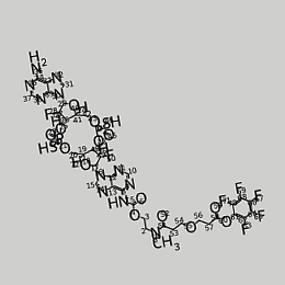 CN(CCOC(=O)Nc1ncnc2c1ncn2[C@@H]1O[C@@H]2CO[P@@](=O)(S)O[C@H]3[C@@H](F)[C@H](n4cnc5c(N)ncnc54)O[C@@H]3CO[P@@](=O)(S)O[C@H]2[C@H]1F)C(=O)CCOCCC(=O)Oc1c(F)c(F)c(F)c(F)c1F